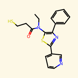 CCN(C(=O)CCS)c1sc(-c2cccnc2)nc1-c1ccccc1